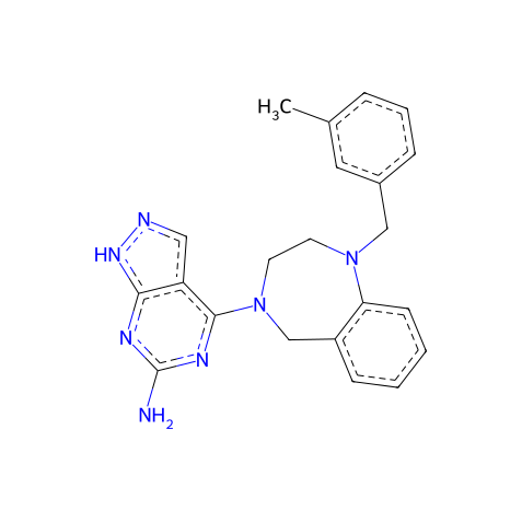 Cc1cccc(CN2CCN(c3nc(N)nc4[nH]ncc34)Cc3ccccc32)c1